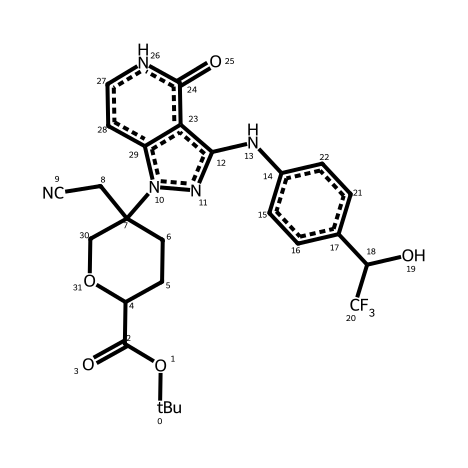 CC(C)(C)OC(=O)C1CCC(CC#N)(n2nc(Nc3ccc(C(O)C(F)(F)F)cc3)c3c(=O)[nH]ccc32)CO1